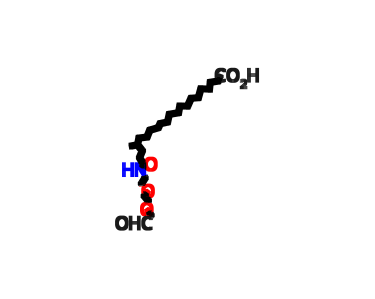 CC(CCCCCCCCCCCCCCCCC(=O)O)CCC(=O)NCCOCCOCC=O